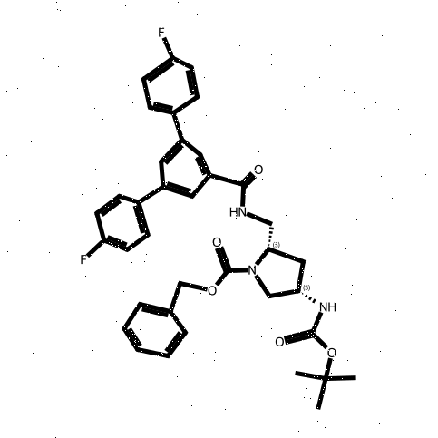 CC(C)(C)OC(=O)N[C@H]1C[C@@H](CNC(=O)c2cc(-c3ccc(F)cc3)cc(-c3ccc(F)cc3)c2)N(C(=O)OCc2ccccc2)C1